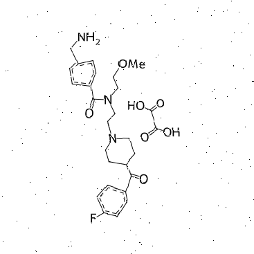 COCCN(CCN1CCC(C(=O)c2ccc(F)cc2)CC1)C(=O)c1ccc(CN)cc1.O=C(O)C(=O)O